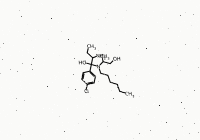 CCCCCCN(C(C)CO)C(O)(c1ccc(Cl)cc1)C(N)CC